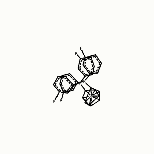 Fc1cccc(P(c2cccc(F)c2)[C]23[CH]4[CH]5[CH]6[CH]2[Fe]56432789[CH]3[CH]2[CH]7[C]8(P(c2cccc(F)c2)c2cccc(F)c2)[CH]39)c1